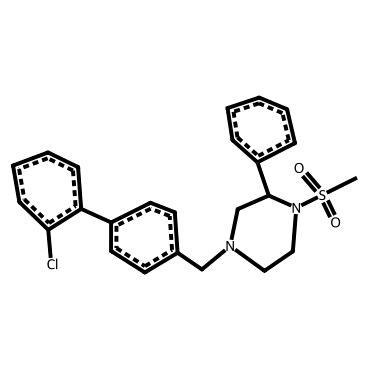 CS(=O)(=O)N1CCN(Cc2ccc(-c3ccccc3Cl)cc2)CC1c1ccccc1